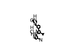 Cl.N#Cc1ccnc(Nc2cc(C3CC3)cc(-c3cccc(CN4CCNC(=O)C4)c3)n2)c1